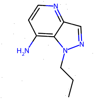 CCCn1ncc2nccc(N)c21